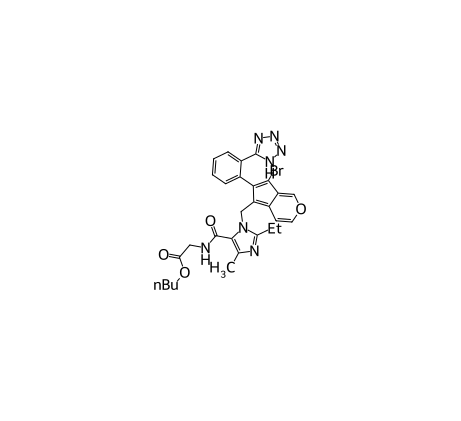 CCCCOC(=O)CNC(=O)c1c(C)nc(CC)n1Cc1c2ccocc-2c(Br)c1-c1ccccc1-c1nnn[nH]1